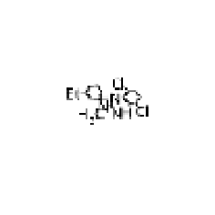 CCc1cccc(N(C)C(=N)Nc2cc(Cl)ccc2Cl)c1